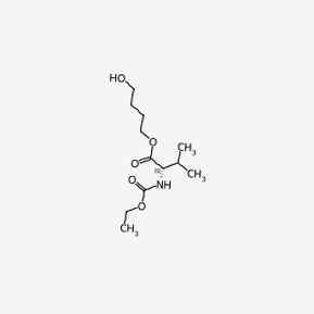 CCOC(=O)N[C@H](C(=O)OCCCCO)C(C)C